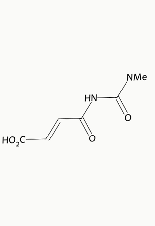 CNC(=O)NC(=O)C=CC(=O)O